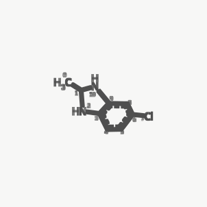 CC1Nc2ccc(Cl)cc2N1